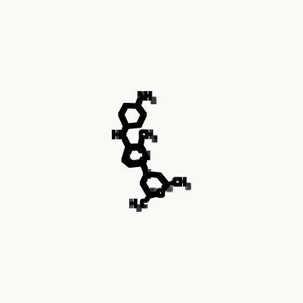 Cc1nc(N2C[C@@H](C)O[C@@H](C)C2)ccc1NC1CCC(N)CC1